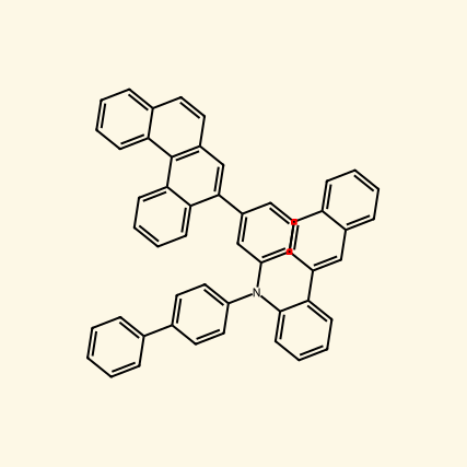 c1ccc(-c2ccc(N(c3cccc(-c4cc5ccc6ccccc6c5c5ccccc45)c3)c3ccccc3-c3ccc4ccccc4c3)cc2)cc1